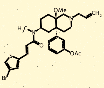 C=CCN1CC[C@@]2(c3cccc(OC(C)=O)c3)C[C@@H](N(C)C(=O)/C=C/c3cc(Br)cs3)CC[C@]2(OC)C1